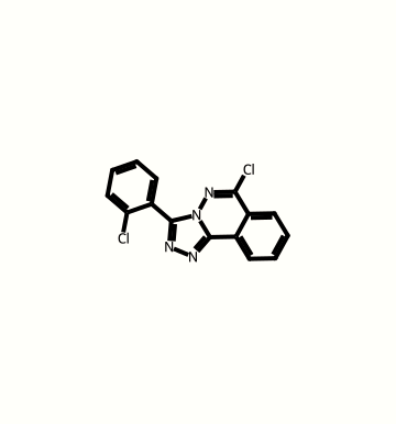 Clc1ccccc1-c1nnc2c3ccccc3c(Cl)nn12